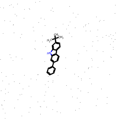 CC(C)(C)c1ccc2c(c1)[nH]c1cc(-c3ccccc3)ccc12